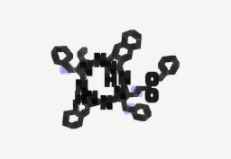 C=CC1=C(/C=C2/C=CC=CC2)c2nc1nc1[nH]c(nc3nc(nc4[nH]c(n2)c2cc5ccccc5cc42)C(/C=C2/C=CC=CC2)=C3/C=C/C(=O)OCc2ccccc2)c2cc3ccccc3cc12